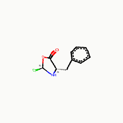 O=C1O[C@H](Cl)N[C@H]1Cc1ccccc1